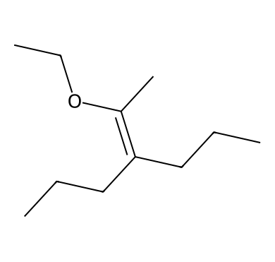 CCCC(CCC)=C(C)OCC